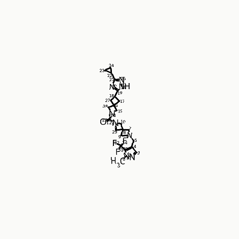 Cn1ncc(CN2CC3(C2)CN(C(=O)N2CC4(CC(c5nc(C6CC6)n[nH]5)C4)C2)C3)c1C(F)(F)F